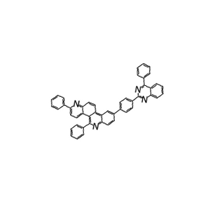 c1ccc(-c2ccc3c(ccc4c5cc(-c6ccc(-c7nc(-c8ccccc8)c8ccccc8n7)cc6)ccc5nc(-c5ccccc5)c34)n2)cc1